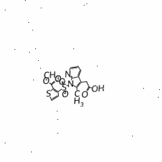 COC(=O)c1sccc1S(=O)(=O)n1c(C)c(CC(=O)O)c2cccnc21